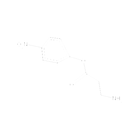 NCCC(=O)Oc1ccc([N+](=O)[O-])cc1